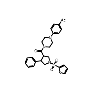 CC(=O)c1ccc(N2CCN(C(=O)C3CN(S(=O)(=O)c4cccs4)CC3c3ccccc3)CC2)cc1